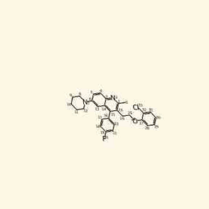 Cc1nc2ccc(N3CCCCC3)cc2c(-c2ccc(F)cc2)c1CCOc1ccccc1Cl